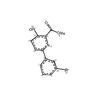 COC(=O)c1nc(-c2cccc(Br)c2)ccc1N=O